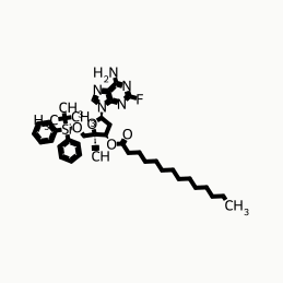 C#C[C@]1(CO[Si](c2ccccc2)(c2ccccc2)C(C)(C)C)O[C@@H](n2cnc3c(N)nc(F)nc32)C[C@@H]1OC(=O)CCCCCCCCCCCCC